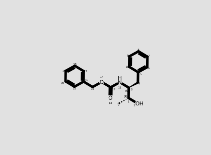 [CH2][C@@H](O)[C@H](Cc1ccccc1)NC(=O)OCc1ccccc1